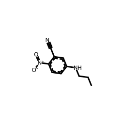 CCCNc1ccc([N+](=O)[O-])c(C#N)c1